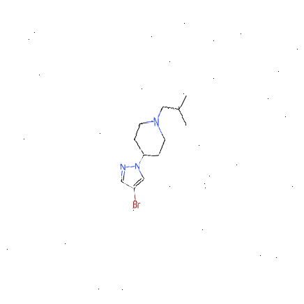 C[C](C)CN1CCC(n2cc(Br)cn2)CC1